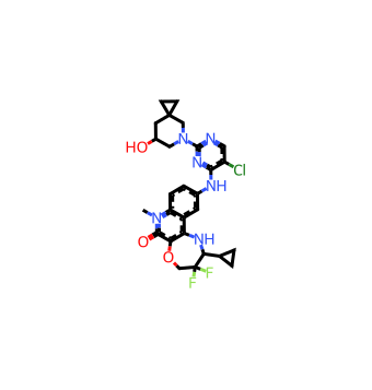 Cn1c(=O)c2c(c3cc(Nc4nc(N5CC(O)CC6(CC6)C5)ncc4Cl)ccc31)NC(C1CC1)C(F)(F)CO2